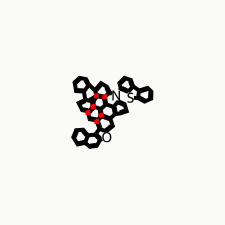 c1cc(-c2ccc3c(c2)oc2ccc4ccccc4c23)c(-c2cccc3ccccc23)c(N(c2ccc3c4ccccc4c4ccccc4c3c2)c2cccc3c2sc2ccccc23)c1